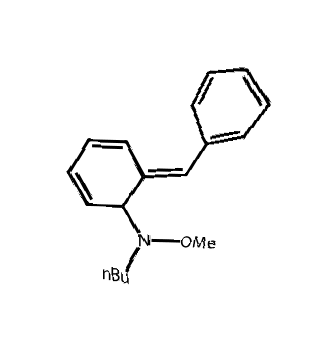 CCCCN(OC)C1C=CC=CC1=Cc1ccccc1